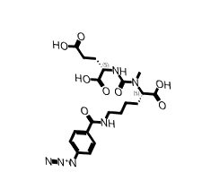 CN(C(=O)N[C@@H](CCC(=O)O)C(=O)O)[C@@H](CCCCNC(=O)c1ccc(N=[N+]=[N-])cc1)C(=O)O